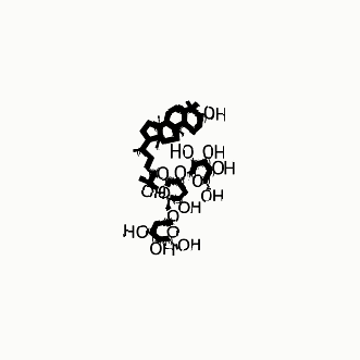 C[C@H](CC[C@@H](O[C@@H]1O[C@H](CO[C@@H]2C[C@@H](O)[C@H](O)[C@@H](CO)O2)[C@@H](O)C[C@H]1O[C@H]1O[C@@H](CO)[C@H](O)[C@@H](O)[C@@H]1O)C(C)(C)O)C1CC[C@@]2(C)C3CC=C4C(CC[C@H](O)C4(C)C)[C@]3(C)CC[C@]12C